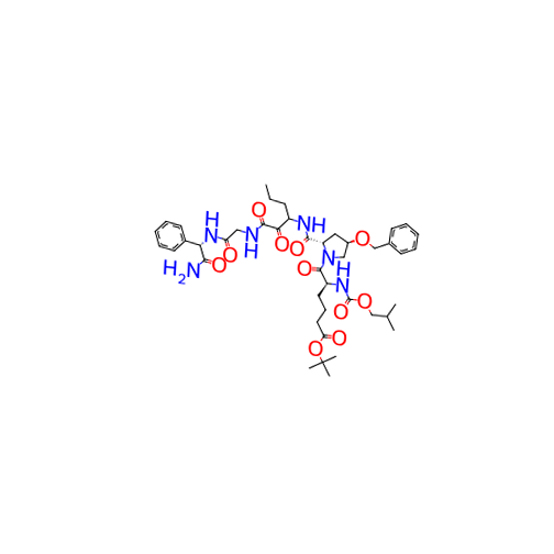 CCCC(NC(=O)[C@@H]1C[C@@H](OCc2ccccc2)CN1C(=O)[C@H](CCCC(=O)OC(C)(C)C)NC(=O)OCC(C)C)C(=O)C(=O)NCC(=O)N[C@H](C(N)=O)c1ccccc1